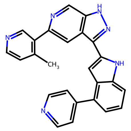 Cc1ccncc1-c1cc2c(-c3cc4c(-c5ccncc5)cccc4[nH]3)n[nH]c2cn1